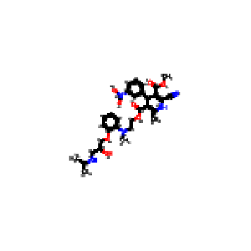 COC(=O)C1=C(C#N)NC(C)=C(C(=O)OCCN(C)c2ccccc2OCC(O)CNC(C)C)C1c1cccc([N+](=O)[O-])c1